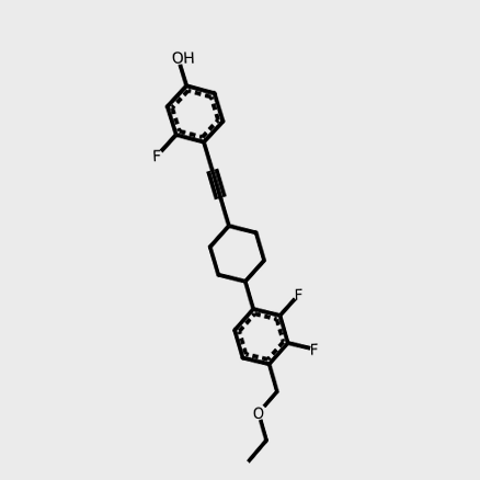 CCOCc1ccc(C2CCC(C#Cc3ccc(O)cc3F)CC2)c(F)c1F